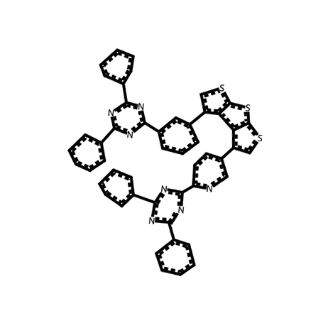 c1ccc(-c2nc(-c3ccccc3)nc(-c3cccc(-c4csc5sc6scc(-c7ccc(-c8nc(-c9ccccc9)nc(-c9ccccc9)n8)nc7)c6c45)c3)n2)cc1